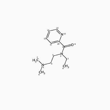 CCN(CCN(C)C)C(=O)c1ccccn1